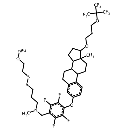 CCCCOCCSSCCCN(C)Cc1c(F)c(F)c(Oc2ccc3c(c2)CCC2C3CCC3(C)C(OCCCOC(C(F)(F)F)(C(F)(F)F)C(F)(F)F)CCC23)c(F)c1F